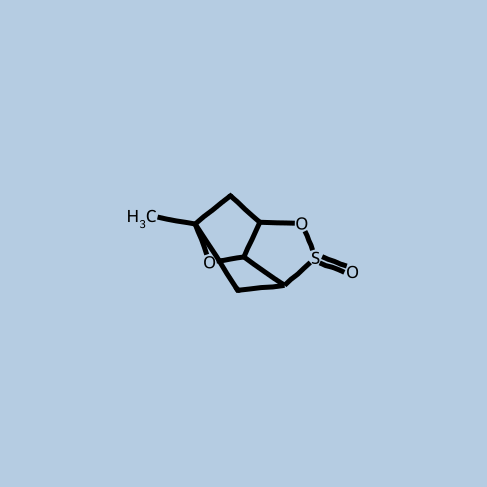 CC12CC3OS(=O)C(C1)C3O2